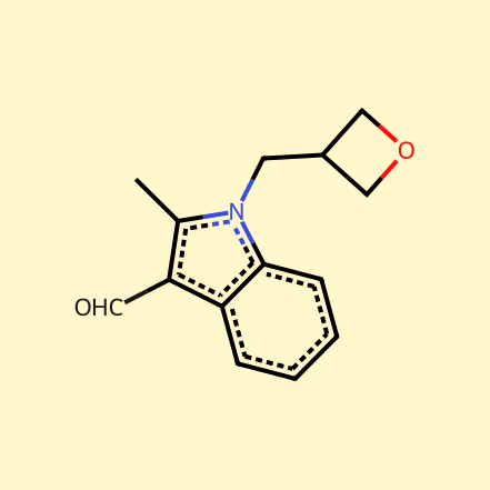 Cc1c(C=O)c2ccccc2n1CC1COC1